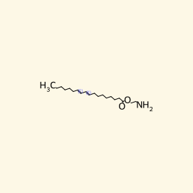 CCCCCC/C=C/C=C/CCCCCCCC(=O)OCCN